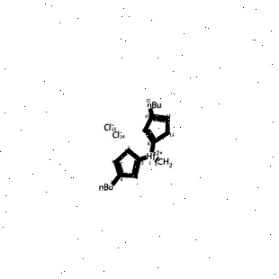 [CH2]=[Hf+2]([C]1=CC(CCCC)=CC1)[C]1=CC(CCCC)=CC1.[Cl-].[Cl-]